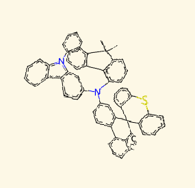 CC1(C)c2ccccc2-c2c(N(c3ccc4c(c3)C3(c5ccccc5Sc5ccccc53)c3cccc5cccc-4c35)c3ccc4c5ccccc5n(-c5ccccc5)c4c3)cccc21